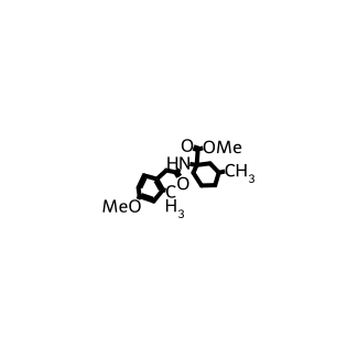 COC(=O)C1(NC(=O)Cc2ccc(OC)cc2C)CCCC(C)C1